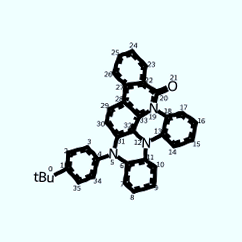 CC(C)(C)c1ccc(N2c3ccccc3N3c4ccccc4-n4c(=O)c5ccccc5c5ccc2c3c54)cc1